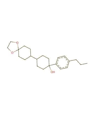 CCCc1ccc(C2(O)CCC(C3CCC4(CC3)OCCO4)CC2)cc1